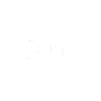 CC1CN(Cc2ccccc2)CCC1(C)C(=O)O